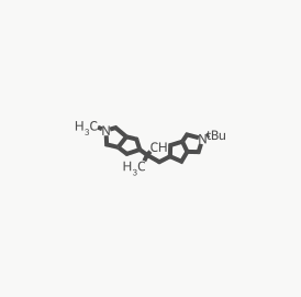 CN1CC2CC(C(C)(C)CC3CC4CN(C(C)(C)C)CC4C3)CC2C1